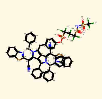 Cc1ccccc1-c1c2/c(=C(\C#N)c3nc4ccccc4s3)n(Bc3ccccc3)c(Cc3ccc(OS(=O)(=O)C(F)(F)C(F)(F)C(F)(F)S(=O)(=O)NS(=O)(=O)C(F)(F)F)cc3)c2/c(=C(\C#N)c2nc3ccccc3s2)n1B(c1ccccc1)c1ccccc1